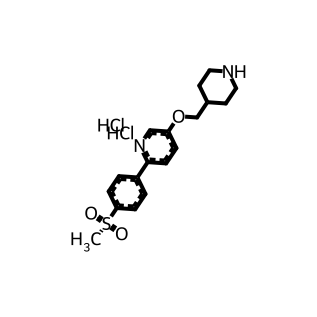 CS(=O)(=O)c1ccc(-c2ccc(OCC3CCNCC3)cn2)cc1.Cl.Cl